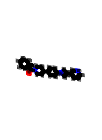 CC1(C(=O)N2CCC(c3ccc(N4CC(c5cccnc5)C4)cc3)CC2)CCCCC1